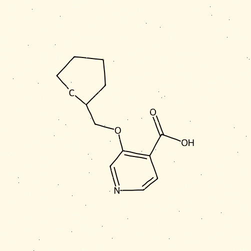 O=C(O)c1ccncc1OCC1CCCCC1